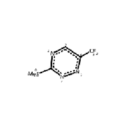 CSc1ncc(C(F)(F)F)nn1